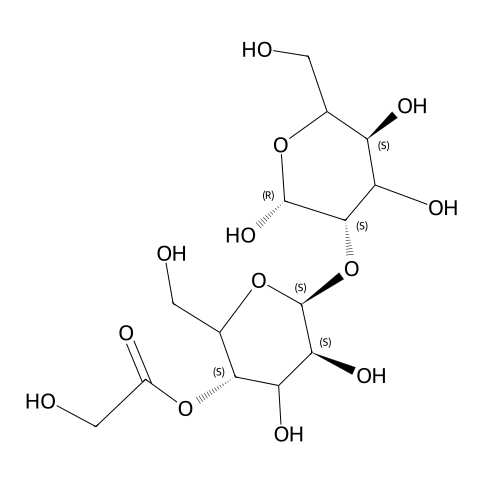 O=C(CO)O[C@@H]1C(CO)O[C@@H](O[C@H]2C(O)[C@H](O)C(CO)O[C@H]2O)[C@@H](O)C1O